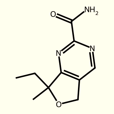 CCC1(C)OCc2cnc(C(N)=O)nc21